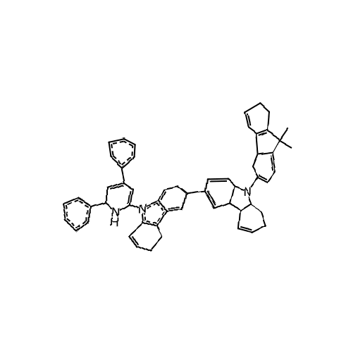 CC1(C)C2=CC=C(N3C4C=CC(C5C=c6c7c(n(C8=CC(c9ccccc9)=CC(c9ccccc9)N8)c6=CC5)C=CCC7)=CC4C4C=CCCC43)CC2C2=C1CCC=C2